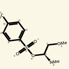 CN[C@H](COC)OS(=O)(=O)c1ccc(C)cc1